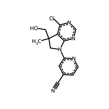 CC1(CO)CN(c2cc(C#N)ccn2)c2ncnc(Cl)c21